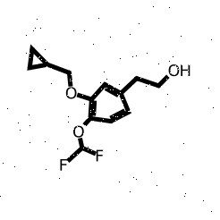 OCCc1ccc(OC(F)F)c(OCC2CC2)c1